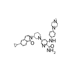 CN1CCN(c2ccc(Nc3cc(N4CCCC(n5ccc6cc(C7CC7)ccc6c5=O)C4)cnc3C(N)=O)cc2)CC1